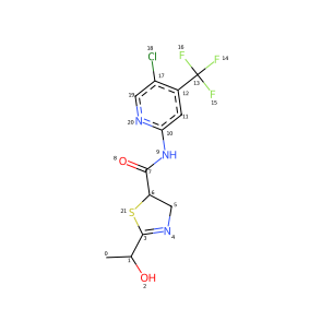 CC(O)C1=NCC(C(=O)Nc2cc(C(F)(F)F)c(Cl)cn2)S1